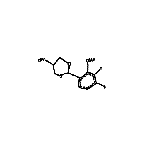 CCCC1COC(c2ccc(F)c(F)c2OC)OC1